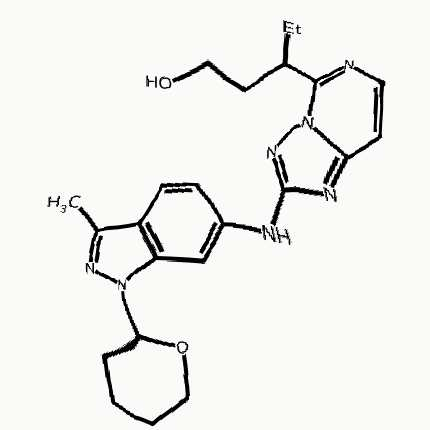 CCC(CCO)c1nccc2nc(Nc3ccc4c(C)nn(C5CCCCO5)c4c3)nn12